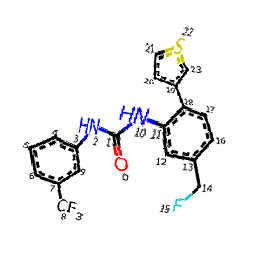 O=C(Nc1cccc(C(F)(F)F)c1)Nc1cc(CF)ccc1-c1ccsc1